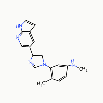 CNc1ccc(C)c(N2C=NC(c3cnc4[nH]ccc4c3)C2)c1